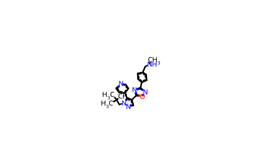 CNCc1ccc(-c2noc(-c3cnn(CC(C)(C)C)c3-c3ccncc3)n2)cc1